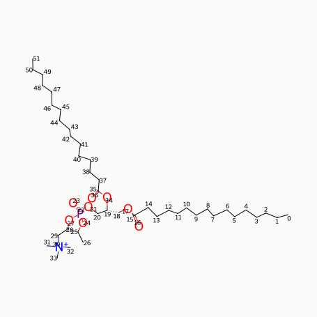 CCCCCCCCCCCCCCCC(=O)OC[C@H](COP(=O)(OCC)OCC[N+](C)(C)C)OC(=O)CCCCCCCCCCCCCCC